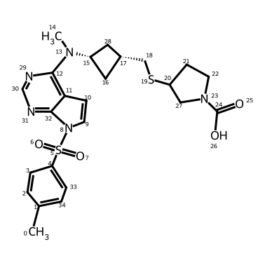 Cc1ccc(S(=O)(=O)n2ccc3c(N(C)[C@H]4C[C@@H](CSC5CCN(C(=O)O)C5)C4)ncnc32)cc1